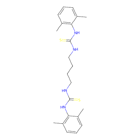 Cc1cccc(C)c1NC(=S)NCCCCNC(=S)Nc1c(C)cccc1C